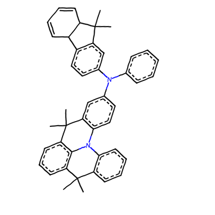 CC1(C)c2ccccc2N2c3ccc(N(c4ccccc4)c4ccc5c(c4)C(C)(C)C4C=CC=CC54)cc3C(C)(C)c3cccc1c32